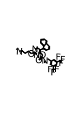 CN(C)CCCOc1ncc(-c2cccc3ccccc23)c(OC(=O)N(C)Cc2cc(C(F)(F)F)cc(C(F)(F)F)c2)n1